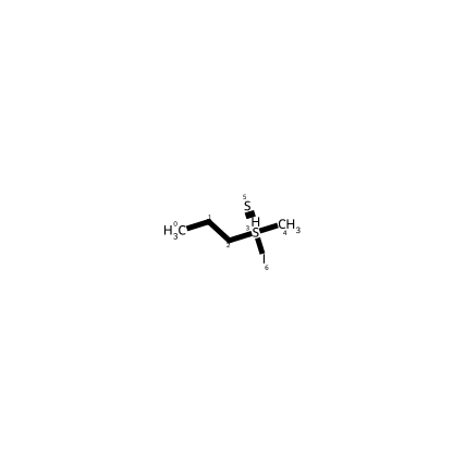 CCC[SH](C)(=S)I